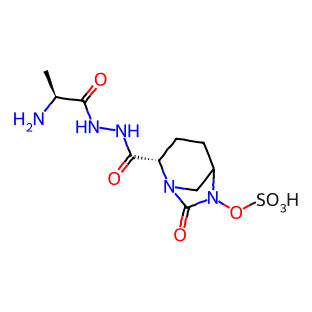 C[C@H](N)C(=O)NNC(=O)[C@@H]1CCC2CN1C(=O)N2OS(=O)(=O)O